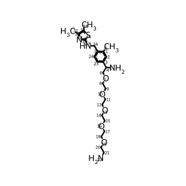 Cc1cc(C(N)COCCOCCOCCOCCOCCN)ccc1CNc1nc(C)c(C)s1